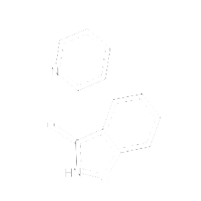 O=c1[nH]oc2ccccc12.c1ccncc1